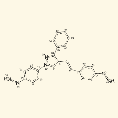 N=Nc1ccc(C=Cc2cn(-c3ccc(N=N)cc3)nc2-c2ccccc2)cc1